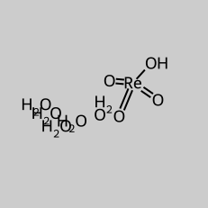 O.O.O.O.O.[O]=[Re](=[O])(=[O])[OH]